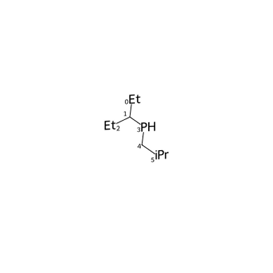 CCC(CC)PCC(C)C